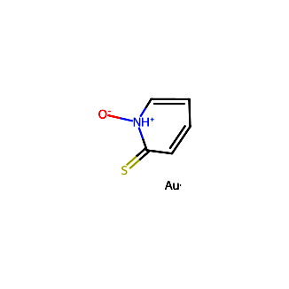 [Au].[O-][NH+]1C=CC=CC1=S